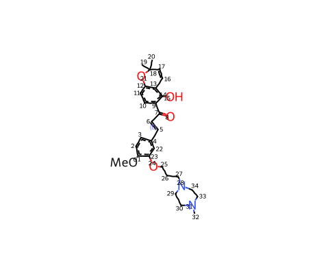 COc1ccc(/C=C/C(=O)c2ccc3c(c2O)C=CC(C)(C)O3)cc1OCCCN1CCN(C)CC1